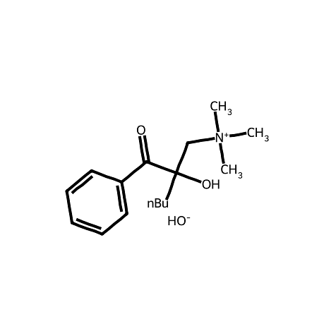 CCCCC(O)(C[N+](C)(C)C)C(=O)c1ccccc1.[OH-]